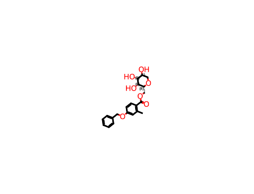 Cc1cc(OCc2ccccc2)ccc1C(=O)OC[C@H]1OC[C@H](O)[C@@H](O)[C@H]1O